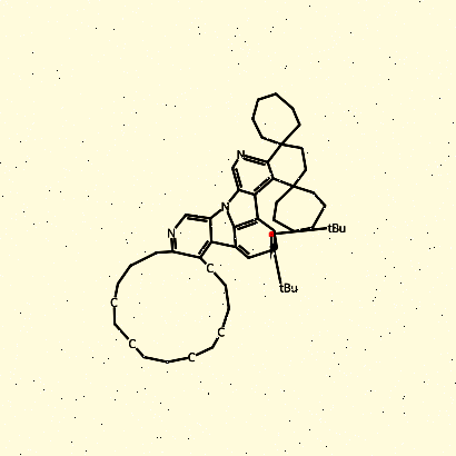 CC(C)(C)c1cc(C(C)(C)C)c2cc3c4c5c(ncc4n4c6cnc7c(c6c(c2c1)c34)C1(CCCCCC1)CCC71CCCCCC1)CCCCCCCCCCCCCC5